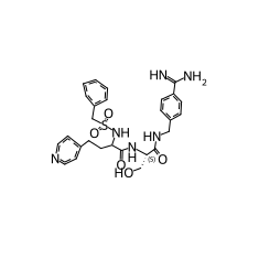 N=C(N)c1ccc(CNC(=O)[C@H](CO)NC(=O)C(CCc2ccncc2)NS(=O)(=O)Cc2ccccc2)cc1